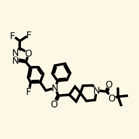 CC(C)(C)OC(=O)N1CCC2(CC1)CC(C(=O)N(Cc1ccc(-c3nnc(C(F)F)o3)cc1F)c1ccccc1)C2